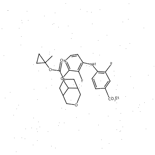 CCOC(=O)c1ccc(Nc2ccnc(OC3C4COCC3CN(C(=O)OC3(C)CC3)C4)c2F)c(F)c1